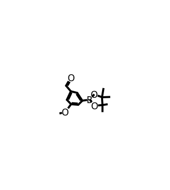 COc1cc(C=O)cc(B2OC(C)(C)C(C)(C)O2)c1